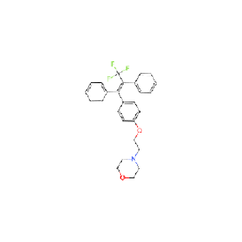 FC(F)(F)C(=C(c1ccccc1)c1ccc(OCCN2CCOCC2)cc1)c1ccccc1